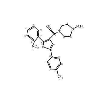 CN1CCN(C(=O)c2cc(-c3ccc(C(F)(F)F)cc3)[nH]c2-c2ccccc2[N+](=O)[O-])CC1